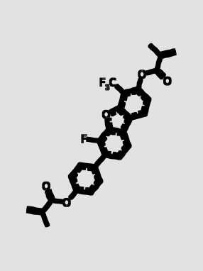 C=C(C)C(=O)Oc1ccc(-c2ccc3c(oc4c(C(F)(F)F)c(OC(=O)C(=C)C)ccc43)c2F)cc1